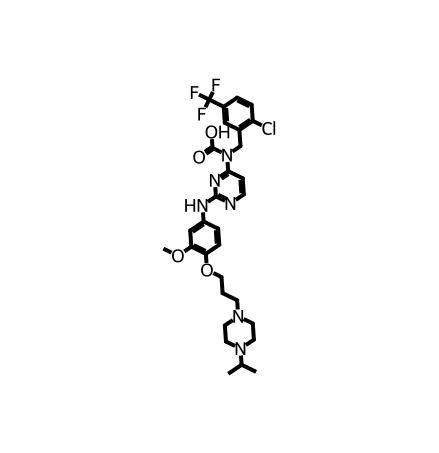 COc1cc(Nc2nccc(N(Cc3cc(C(F)(F)F)ccc3Cl)C(=O)O)n2)ccc1OCCCN1CCN(C(C)C)CC1